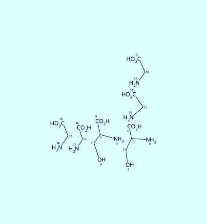 NC(CO)C(=O)O.NC(CO)C(=O)O.NCC(=O)O.NCC(=O)O.NCC(=O)O.NCC(=O)O